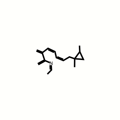 C=C(/C=C\C=C/CC1(C)CC1C)C(=C)/N=C\C